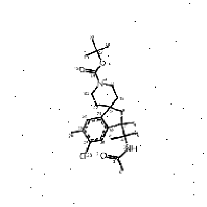 CC(=O)NC(C)(C)C1(C)CC2(CCN(C(=O)OC(C)(C)C)CC2)c2cc(C)c(Cl)cc21